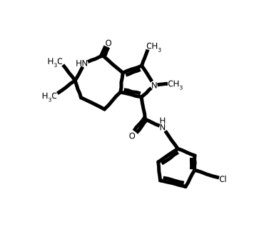 Cc1c2c(c(C(=O)Nc3cccc(Cl)c3)n1C)CCC(C)(C)NC2=O